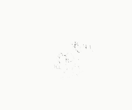 Cc1ccc(-c2c(C)c(-c3nnc(N)o3)cc(=O)n2C(CC(C)(C)C)C(=O)O)cc1